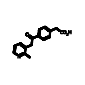 Cc1ncccc1CC(=O)c1ccc(CC(=O)O)cc1